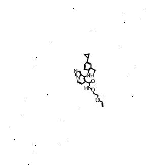 C=COCCONC(=O)c1ccn2cncc2c1Nc1ccc(C2CC2)cc1F